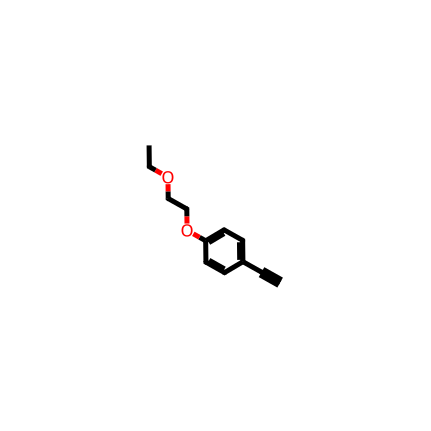 C#Cc1ccc(OCCOCC)cc1